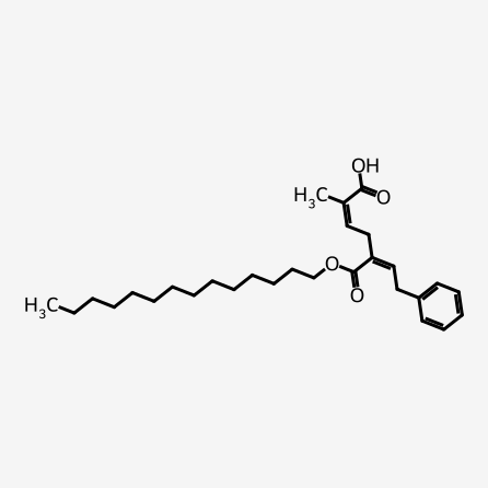 CCCCCCCCCCCCCCOC(=O)C(=CCc1ccccc1)CC=C(C)C(=O)O